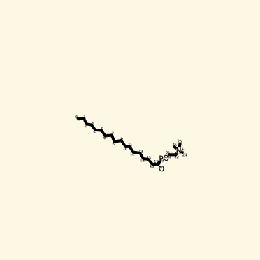 CCCCCCCCCCCCCCCCCC(=O)[P-]OCC[N+](C)(C)C